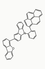 c1ccc(-n2c3ccccc3c3cc(-c4cccc5c4oc4ccccc45)ccc32)c(-c2ccc3ccc4cccc5ccc2c3c45)c1